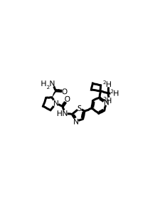 [2H]C([2H])([2H])C1(c2cc(-c3cnc(NC(=O)N4CCC[C@H]4C(N)=O)s3)ccn2)CCC1